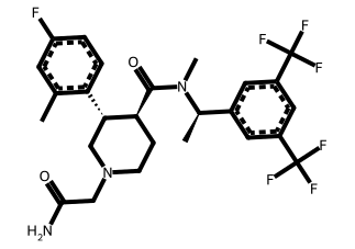 Cc1cc(F)ccc1[C@H]1CN(CC(N)=O)CC[C@@H]1C(=O)N(C)[C@H](C)c1cc(C(F)(F)F)cc(C(F)(F)F)c1